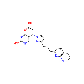 O=C(O)CC(c1cnc(O)nc1)n1ccc(CCCc2ccc3c(n2)NCCC3)n1